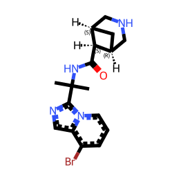 CC(C)(NC(=O)[C@@H]1[C@@H]2CNC[C@H]1C2)c1ncc2c(Br)cccn12